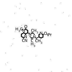 CC(C)Oc1ccc(C(C)N2C[C@H](C)N(c3cc(=O)n(C)c4ccc(C#N)nc34)C[C@H]2C)cn1